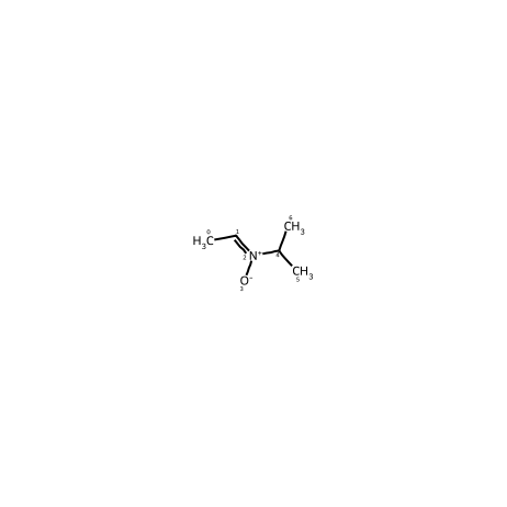 CC=[N+]([O-])C(C)C